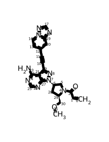 C=CC(=O)N1C[C@@H](n2nc(C#Cc3ccn4ncnc4c3)c3c(N)ncnc32)C[C@@H]1COC